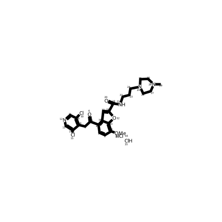 COc1ccc(C(=O)Cc2c(Cl)cncc2Cl)c2cc(C(=O)NCCCN3CCN(C)CC3)oc12.Cl.Cl